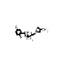 CC1CCN(CCCC(C)(C)NCc2cc(F)ccc2F)C1